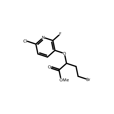 COC(=O)C(CCBr)Oc1ccc(Cl)nc1F